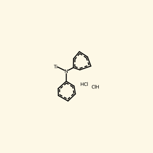 Cl.Cl.[Ti][N](c1ccccc1)c1ccccc1